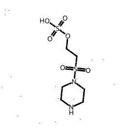 O=S(=O)(O)OCCS(=O)(=O)N1CCNCC1